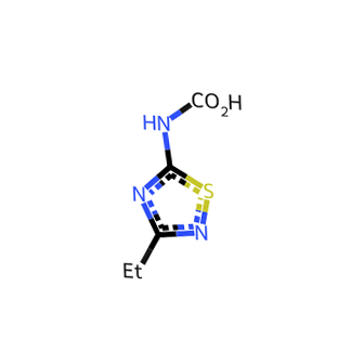 CCc1nsc(NC(=O)O)n1